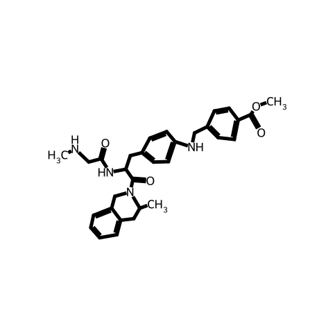 CNCC(=O)NC(Cc1ccc(NCc2ccc(C(=O)OC)cc2)cc1)C(=O)N1Cc2ccccc2CC1C